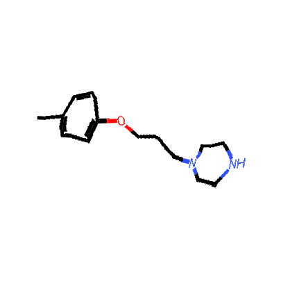 Cc1ccc(OCCCN2CCNCC2)cc1